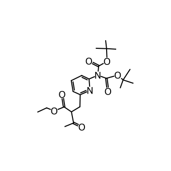 CCOC(=O)C(Cc1cccc(N(C(=O)OC(C)(C)C)C(=O)OC(C)(C)C)n1)C(C)=O